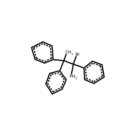 CC(c1ccccc1)(c1ccccc1)C(P)(Br)c1ccccc1